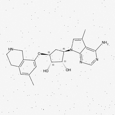 Cc1cc2c(c(O[C@H]3C[C@@H](n4cc(C)c5c(N)ncnc54)[C@H](O)[C@@H]3O)c1)CNCC2